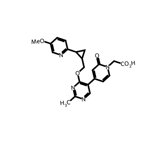 COc1ccc(C2CC2COc2nc(C)ncc2-c2ccn(CC(=O)O)c(=O)c2)nc1